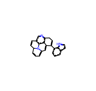 C1=CC2C=Cc3cnc4c5c3N2C(=C1)C=C5C(c1cccc2cc[nH]c12)=CC4